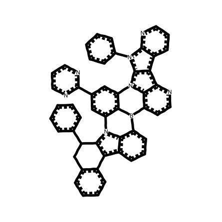 c1ccc(C2Cc3ccccc3-c3c2n2c4c(cccc34)B3c4c-2cc(-c2ncccn2)cc4-n2c4c3ccnc4c3c4cccnc4n(-c4ccccc4)c32)cc1